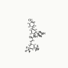 O=C(C=Cc1cc(C(F)(F)F)cc(C(F)(F)F)c1)Nc1ccc(-c2ccc(Cl)cc2)cc1-c1nn[nH]n1